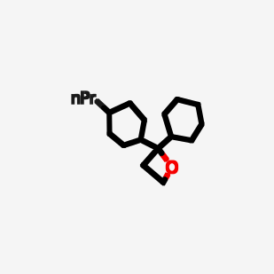 CCCC1CCC(C2(C3CCCCC3)CCO2)CC1